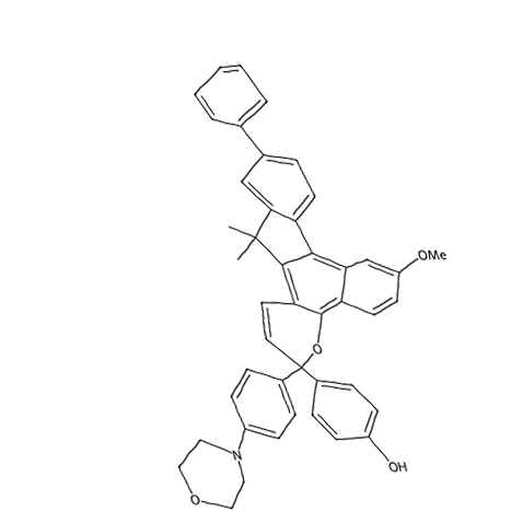 COc1ccc2c3c(c4c(c2c1)-c1ccc(-c2ccccc2)cc1C4(C)C)C=CC(c1ccc(O)cc1)(c1ccc(N2CCOCC2)cc1)O3